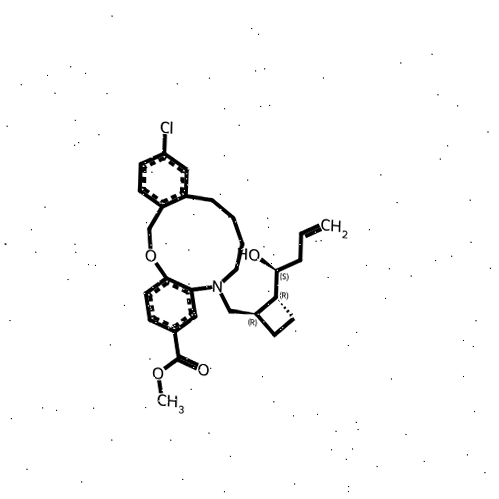 C=CC[C@H](O)[C@@H]1CC[C@H]1CN1CCCCc2cc(Cl)ccc2COc2ccc(C(=O)OC)cc21